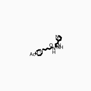 CC(=O)N1CCCN(CCCCC(=O)Nc2cc(-c3cccnc3)n[nH]2)CC1